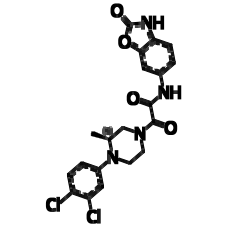 C[C@H]1CN(C(=O)C(=O)Nc2ccc3[nH]c(=O)oc3c2)CCN1c1ccc(Cl)c(Cl)c1